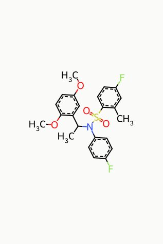 COc1ccc(OC)c(C(C)N(c2ccc(F)cc2)S(=O)(=O)c2ccc(F)cc2C)c1